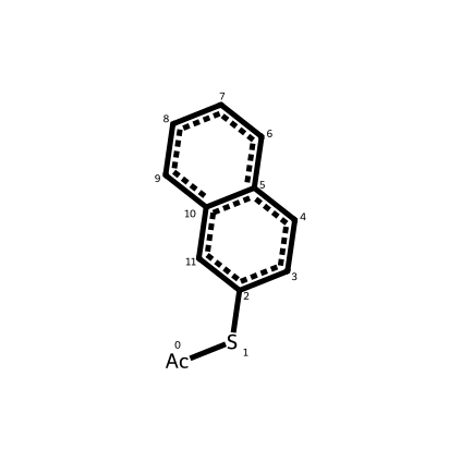 CC(=O)Sc1ccc2ccccc2c1